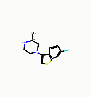 C[C@H]1CN(c2csc3cc(F)ccc23)CCN1